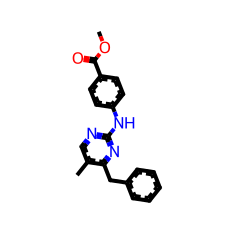 COC(=O)c1ccc(Nc2ncc(C)c(Cc3ccccc3)n2)cc1